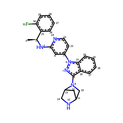 C[C@H](Nc1cc(-n2nc(N3CC4CC3CN4)c3ccccc32)ccn1)c1ccccc1F